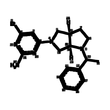 CCc1cc(N2C[C@H]3CCN(C(C)c4ccccc4)[C@H]3C2)nc(N)n1